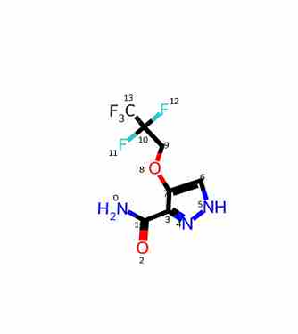 NC(=O)c1n[nH]cc1OCC(F)(F)C(F)(F)F